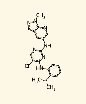 Cn1ncc2cc(Nc3ncc(Cl)c(Nc4ccccc4P(C)C)n3)cnc21